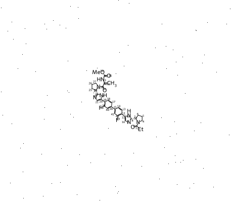 CCC(=O)N1CCC[C@H]1c1ncc(-c2ccc(-c3ccc(-c4cnc([C@@H]5CCCN5C(=O)[C@H](C)NC(=O)OC)[nH]4)c(F)c3)cc2F)[nH]1